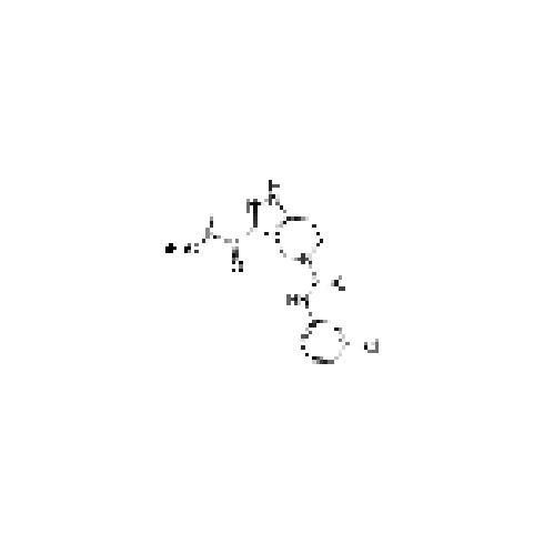 CC(C)CON(C)C(=O)c1n[nH]c2c1CN(C(=O)Nc1cccc(Cl)c1)CC2